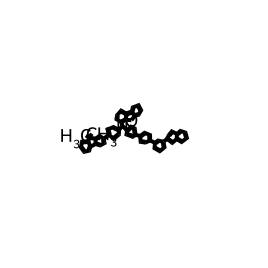 CC1(C)c2ccccc2-c2ccc(-c3ccc(N(c4ccc(-c5ccc(-c6cccc(-c7ccc8ccccc8c7)c6)cc5)cc4)c4cccc5c4oc4ccccc45)cc3)cc21